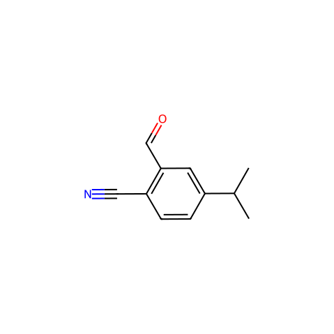 CC(C)c1ccc(C#N)c(C=O)c1